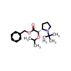 CC(C)OC(C(=O)OCc1ccccc1)[C@@H]1CCCN1C(C)(C)C